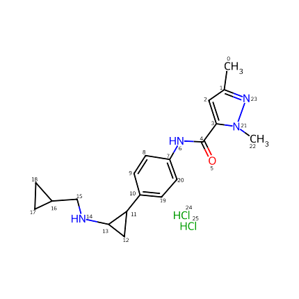 Cc1cc(C(=O)Nc2ccc(C3CC3NCC3CC3)cc2)n(C)n1.Cl.Cl